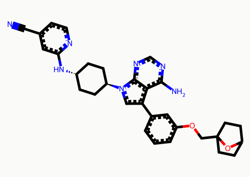 N#Cc1ccnc(N[C@H]2CC[C@H](n3cc(-c4cccc(OCC56CCC(CC5)O6)c4)c4c(N)ncnc43)CC2)c1